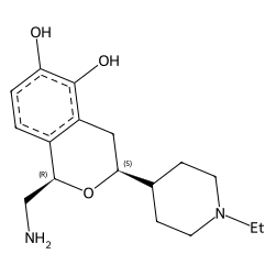 CCN1CCC([C@@H]2Cc3c(ccc(O)c3O)[C@H](CN)O2)CC1